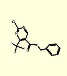 O=C(OCc1ccccc1)c1cnc(Cl)nc1C(F)(F)F